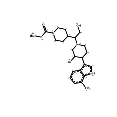 Cc1cccc2c(C3CCN(C(CO)C4CCN(C(=O)OC(C)(C)C)CC4)CC3O)c[nH]c12